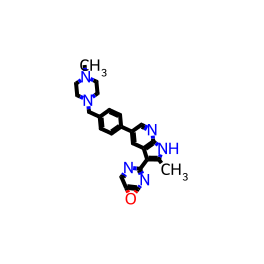 Cc1[nH]c2ncc(-c3ccc(CN4CCN(C)CC4)cc3)cc2c1-c1ncc2c(n1)O2